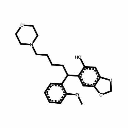 COc1ccccc1C(CCCCN1CCOCC1)c1cc2c(cc1O)OCO2